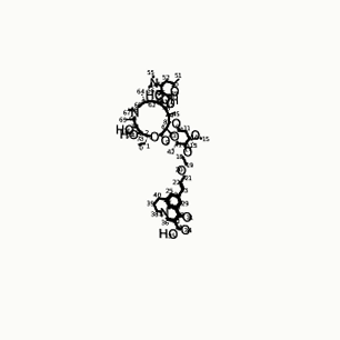 CC[C@H]1OC(=O)[C@H](C)[C@@H](OC2C[C@@](C)(OC)[C@@H](OCCOCC=Cc3cc4c5c(c3)c(=O)c(C(=O)O)cn5CCC4)[C@H](C)O2)[C@H](C)[C@@H](O[C@@H]2O[C@H](C)C[C@H](N(C)C)[C@H]2O)[C@](C)(O)C[C@@H](C)CN(C)[C@H](C)[C@H](O)[C@]1(C)O